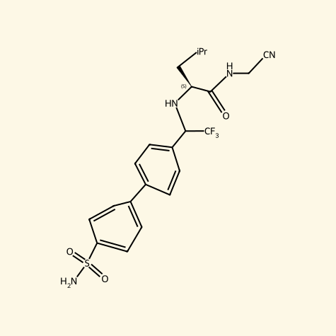 CC(C)C[C@H](NC(c1ccc(-c2ccc(S(N)(=O)=O)cc2)cc1)C(F)(F)F)C(=O)NCC#N